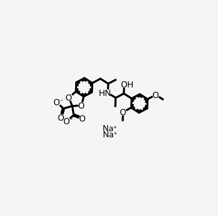 COc1ccc(OC)c(C(O)C(C)NC(C)Cc2ccc3c(c2)OC(C(=O)[O-])(C(=O)[O-])O3)c1.[Na+].[Na+]